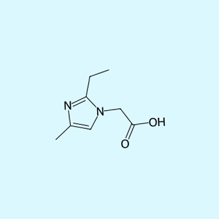 CCc1nc(C)cn1CC(=O)O